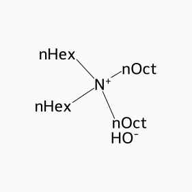 CCCCCCCC[N+](CCCCCC)(CCCCCC)CCCCCCCC.[OH-]